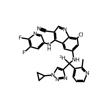 [2H]C(Nc1cc(Cl)c2ncc(C#N)c(Nc3cnc(F)c(F)c3)c2c1)(c1cn(C2CC2)nn1)c1cccnc1C